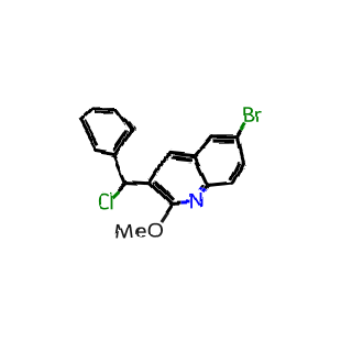 COc1nc2ccc(Br)cc2cc1C(Cl)c1ccccc1